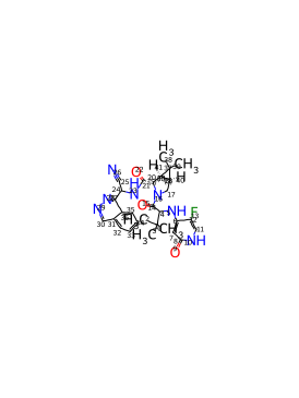 CC(C)(C)C(Nc1cc(=O)[nH]cc1F)C(=O)N1C[C@H]2[C@@H]([C@H]1C(=O)NC(C#N)c1nncc3ccccc13)C2(C)C